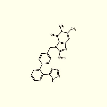 CCCCCc1nc2c(n1Cc1ccc(-c3ccccc3-c3nnn[nH]3)cc1)C(=O)C(C)C(C)=C2